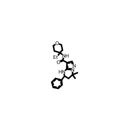 CCC1(NC(=O)c2cnn3c2NC(c2ccccc2)CC3(C)C)CCOCC1